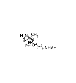 CC(=O)NCCCCOP(OC(C)CN)N(C(C)C)C(C)C